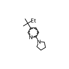 CCC(C)(C)c1ccc(N2CCCC2)nc1